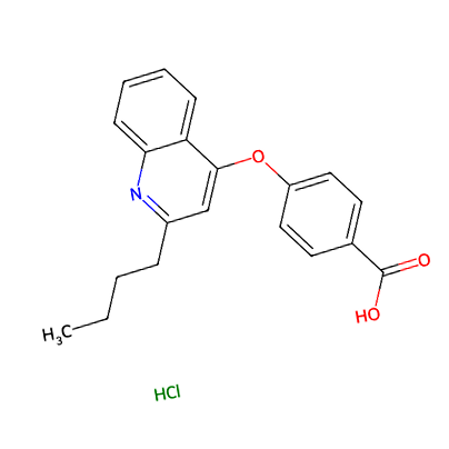 CCCCc1cc(Oc2ccc(C(=O)O)cc2)c2ccccc2n1.Cl